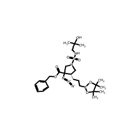 CC(C)(O)CNS(=O)(=O)N1C[C@H](CCCB2OC(C)(C)C(C)(C)O2)C(N=[N+]=[N-])(C(=O)OCc2ccccc2)C1